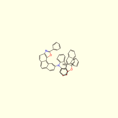 c1ccc(-c2nc3ccc4ccc5ccc(N(c6ccccc6[SiH](c6ccccc6)c6ccccc6)c6cccc7oc8cc9ccccc9cc8c67)cc5c4c3o2)cc1